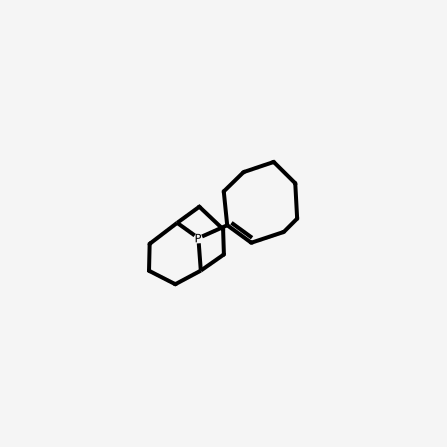 C1=C(P2C3CCCC2CCC3)CCCCCC1